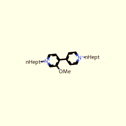 CCCCCCC[n+]1ccc(-c2cc[n+](CCCCCCC)cc2OC)cc1